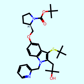 CC(C)(O)Cc1c(SC(C)(C)C)c2cc(OC[C@H]3CCCN3C(=O)OC(C)(C)C)ccc2n1Cc1ccccn1